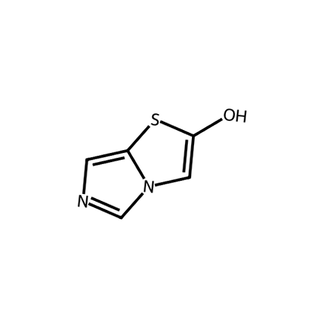 Oc1cn2cncc2s1